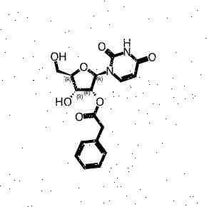 O=C(Cc1ccccc1)O[C@@H]1[C@H](O)[C@@H](CO)O[C@H]1n1ccc(=O)[nH]c1=O